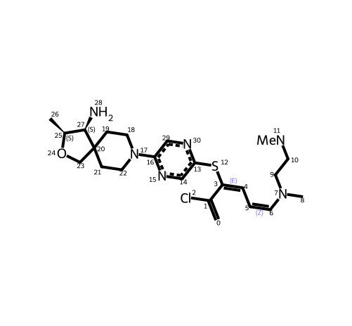 C=C(Cl)/C(=C\C=C/N(C)CCNC)Sc1cnc(N2CCC3(CC2)CO[C@@H](C)[C@H]3N)cn1